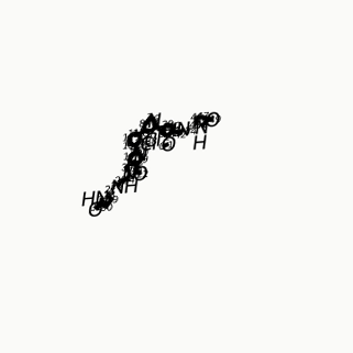 COc1cc(-c2nccc(-c3cccc(-c4cc5c(cn4)C(=O)N(CCNC[C@@H]4CCC(=O)N4)C5)c3Cl)c2Cl)ccc1CNC[C@@H]1CCC(=O)N1